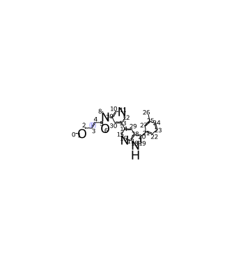 COC/C=C/C(=O)N(C)c1cncc(-c2cnc3[nH]cc(-c4cccc(C)c4)c3c2)c1